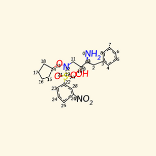 N[C@@H](Cc1ccccc1)[C@H](O)CN(OC1CCCC1)S(=O)(=O)c1cccc([N+](=O)[O-])c1